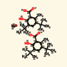 Cc1c(C(C)(C)C)cc(C(C)(C)C)c(O)c1C(=O)[O-].Cc1c(C(C)(C)C)cc(C(C)(C)C)c(O)c1C(=O)[O-].O.[Zn+2]